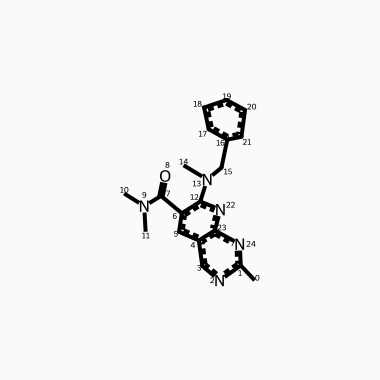 Cc1ncc2cc(C(=O)N(C)C)c(N(C)Cc3ccccc3)nc2n1